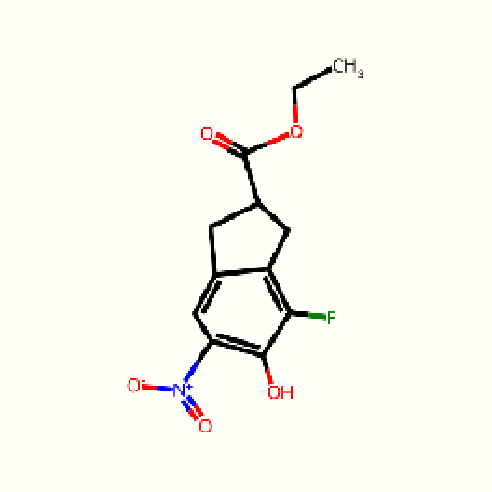 CCOC(=O)C1Cc2cc([N+](=O)[O-])c(O)c(F)c2C1